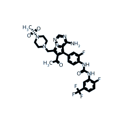 CC(=O)c1c(-c2ccc(NC(=O)Nc3cc(C(F)(F)F)ccc3F)c(F)c2)c2c(N)ncnn2c1CN1CCN(S(C)(=O)=O)CC1